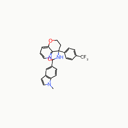 Cn1ccc2cc(C(=O)N[C@]3(c4ccc(C(F)(F)F)cc4)CCOc4cccnc43)ccc21